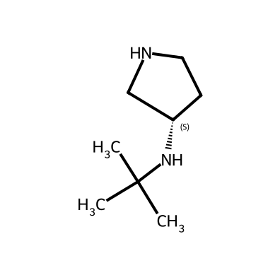 CC(C)(C)N[C@H]1CCNC1